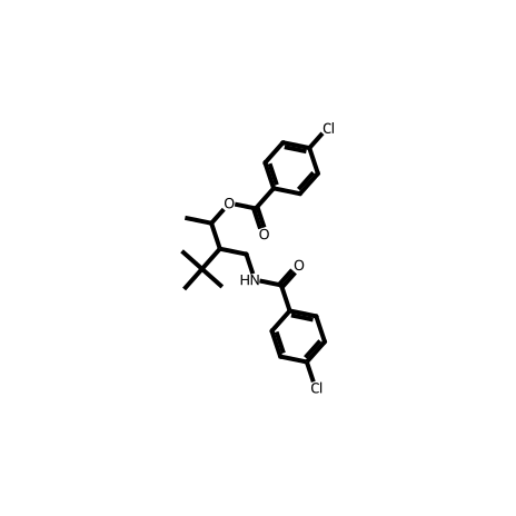 CC(OC(=O)c1ccc(Cl)cc1)C(CNC(=O)c1ccc(Cl)cc1)C(C)(C)C